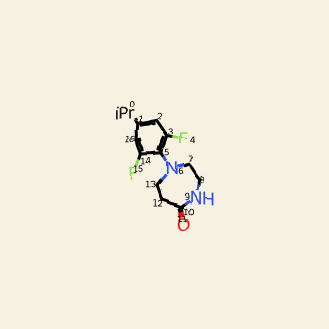 CC(C)c1cc(F)c(N2CCNC(=O)CC2)c(F)c1